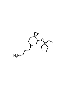 CC[Si](CC)(CC)OC1CN(CCCN)CCC12CC2